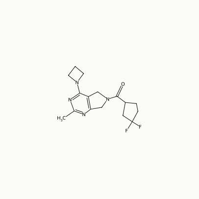 Cc1nc2c(c(N3CCC3)n1)CN(C(=O)C1CCC(F)(F)C1)C2